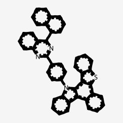 c1ccc2c(-c3nc(-c4ccc(-n5c6ccccc6c6c7ccccc7c7sc8ccccc8c7c65)cc4)nc4ccccc34)cccc2c1